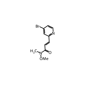 CON(C)C(=O)C=Cc1cc(Br)ccn1